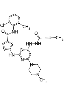 CC#CC(=O)NNc1cc(N2CCN(C)CC2)nc(Nc2ncc(C(=O)Nc3c(C)cccc3Cl)s2)n1